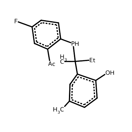 CCC(C)(Pc1ccc(F)cc1C(C)=O)c1cc(C)ccc1O